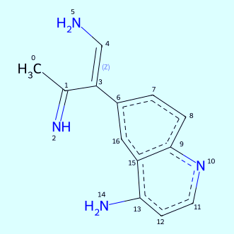 CC(=N)/C(=C\N)c1ccc2nccc(N)c2c1